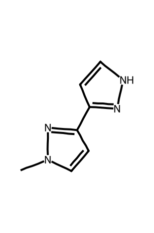 Cn1ccc(-c2cc[nH]n2)n1